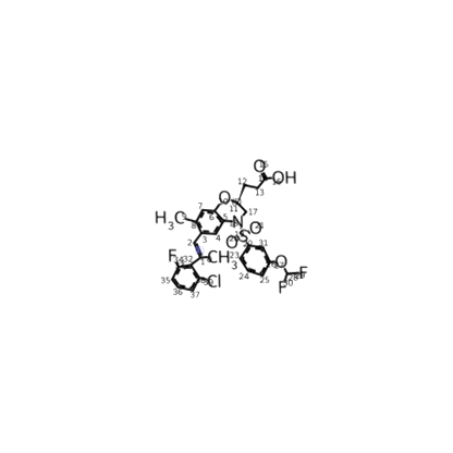 C/C(=C\c1cc2c(cc1C)O[C@@H](CCC(=O)O)CN2S(=O)(=O)c1cccc(OC(F)F)c1)c1c(F)cccc1Cl